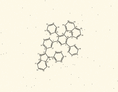 c1ccc(-c2cc(-c3cccc(-c4nc5ccccc5n4-c4ccccc4)c3)c(-c3ccccc3)c3c2-c2cccc4cccc-3c24)cc1